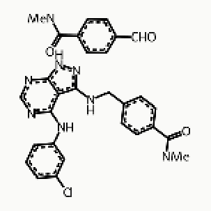 CNC(=O)c1ccc(C=O)cc1.CNC(=O)c1ccc(CNc2n[nH]c3ncnc(Nc4cccc(Cl)c4)c23)cc1